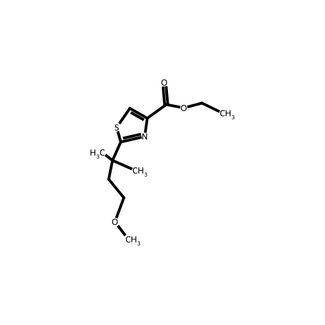 CCOC(=O)c1csc(C(C)(C)CCOC)n1